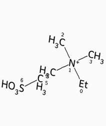 CC[N+](C)(C)C.CS(=O)(=O)O